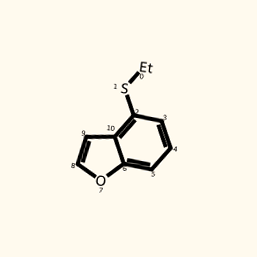 CCSc1cccc2occc12